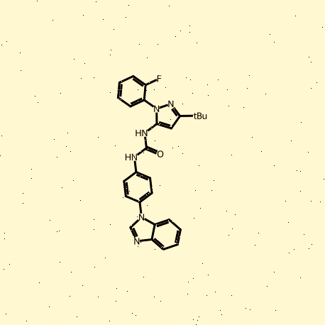 CC(C)(C)c1cc(NC(=O)Nc2ccc(-n3cnc4ccccc43)cc2)n(-c2ccccc2F)n1